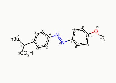 CCCCC(C(=O)O)c1ccc(N=Nc2ccc(OCC)cc2)cc1